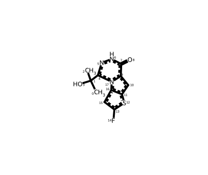 CC(C)(O)c1n[nH]c(=O)c2cc3sc(F)cc3n12